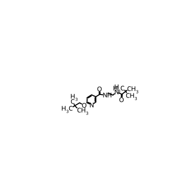 CC(C)(C)COc1ccc(C(=O)NCCNC(=O)C(C)(C)C)cn1